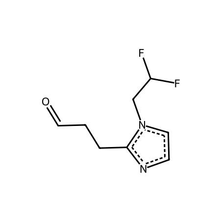 O=CCCc1nccn1CC(F)F